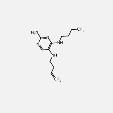 C=CCCNc1cnc(N)nc1NCCCC